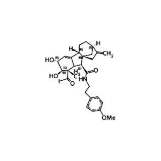 C=C1C[C@]23C[C@H]1CC[C@H]2C1=C[C@@H](O)[C@H](O)[C@@](C)(C(=O)I)C1[C@@H]3C(=O)NCCc1ccc(OC)cc1